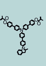 C=C(C)C(=O)Oc1ccc(-c2ccc(N(c3ccc(-c4ccc(OC(=O)C(=C)C)cc4)cc3)c3ccc(-c4ccc(N5c6ccccc6CC5C)cc4)cc3)cc2)cc1